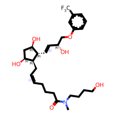 CN(CCCCO)C(=O)CCC/C=C\C[C@@H]1[C@@H](/C=C/[C@@H](O)COc2cccc(C(F)(F)F)c2)[C@H](O)C[C@@H]1O